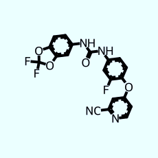 N#Cc1cc(Oc2ccc(NC(=O)Nc3ccc4c(c3)OC(F)(F)O4)cc2F)ccn1